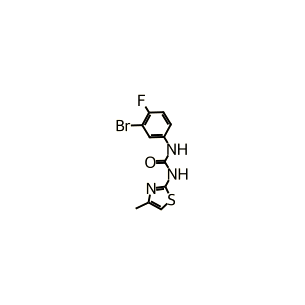 Cc1csc(NC(=O)Nc2ccc(F)c(Br)c2)n1